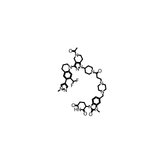 CC(=O)N1CCc2c(c(N3CCCc4cc(-c5cnn(C)c5)c(C(F)F)cc43)nn2C2CCN(C(=O)CCN3CCN(Cc4ccc5c(c4)n(C)c(=O)n5C4CCC(=O)NC4=O)CC3)CC2)C1